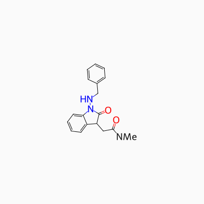 CNC(=O)CC1C(=O)N(NCc2ccccc2)c2ccccc21